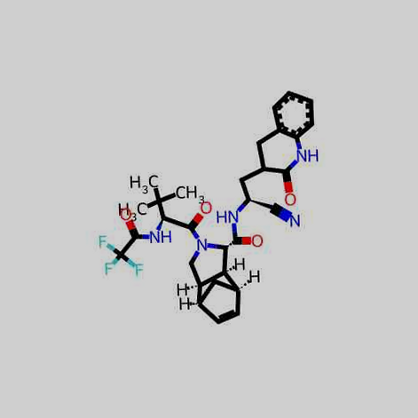 CC(C)(C)[C@H](NC(=O)C(F)(F)F)C(=O)N1C[C@H]2[C@@H]([C@H]1C(=O)N[C@H](C#N)CC1Cc3ccccc3NC1=O)[C@H]1C=C[C@@H]2C1